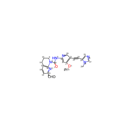 CC(C)Oc1cc(NC(=O)N2CCCc3ccc(C=O)nc32)ncc1C#Cc1cncn1C